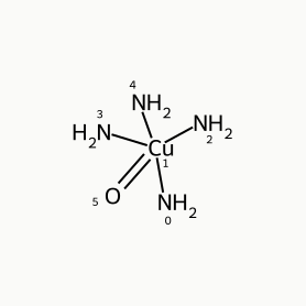 [NH2][Cu]([NH2])([NH2])([NH2])=[O]